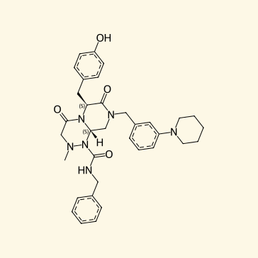 CN1CC(=O)N2[C@@H](Cc3ccc(O)cc3)C(=O)N(Cc3cccc(N4CCCCC4)c3)C[C@@H]2N1C(=O)NCc1ccccc1